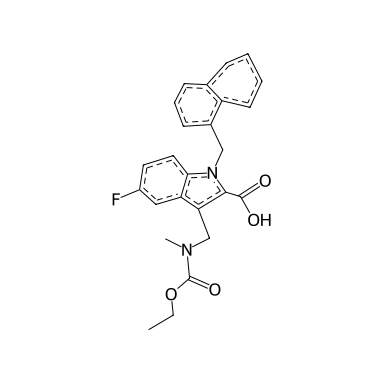 CCOC(=O)N(C)Cc1c(C(=O)O)n(Cc2cccc3ccccc23)c2ccc(F)cc12